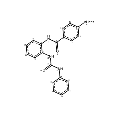 CCCCCCCc1ccc(C(=O)Nc2ccccc2NC(=O)Nc2ccccc2)cc1